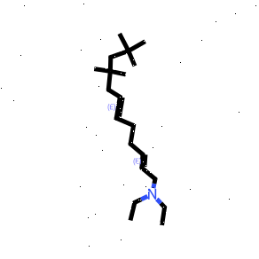 CCN(CC)C/C=C/CC/C=C/CC(C)(C)CC(C)(C)C